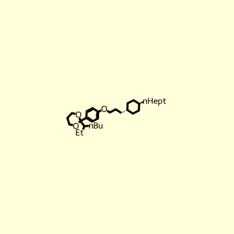 CCCCCCC[C@H]1CC[C@H](CCCOc2ccc(C3(C(CC)CCCC)OCCCO3)cc2)CC1